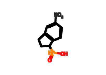 O=[N+]([O-])c1ccc2c(c1)CCC2[PH](=O)O